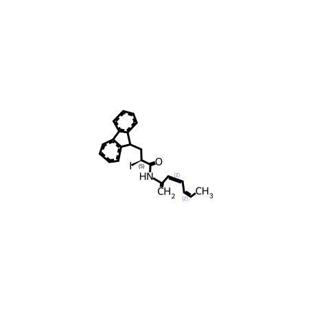 C=C(/C=C\C=C/C)NC(=O)[C@@H](I)CC1c2ccccc2-c2ccccc21